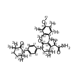 [2H]c1c([2H])c(-n2nc(C(N)=O)c3c2C(=O)N(c2ccc(N4C(=O)C([2H])([2H])CCC4([2H])[2H])cc2)CC3([2H])[2H])c([2H])c([2H])c1OC